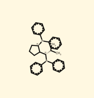 CC(C)[C@@H](C1CCC[C@H]1P(c1ccccc1)c1ccccc1)P(c1ccccc1)c1ccccc1